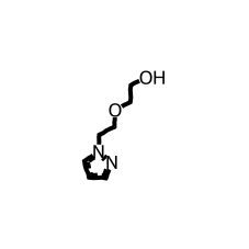 OCCOCCn1cccn1